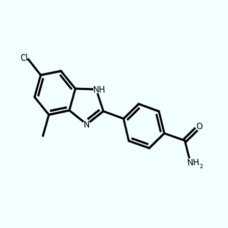 Cc1cc(Cl)cc2[nH]c(-c3ccc(C(N)=O)cc3)nc12